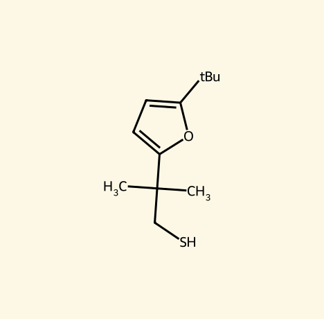 CC(C)(C)c1ccc(C(C)(C)CS)o1